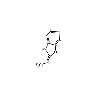 FC(F)(F)N=c1oc2ccccc2s1